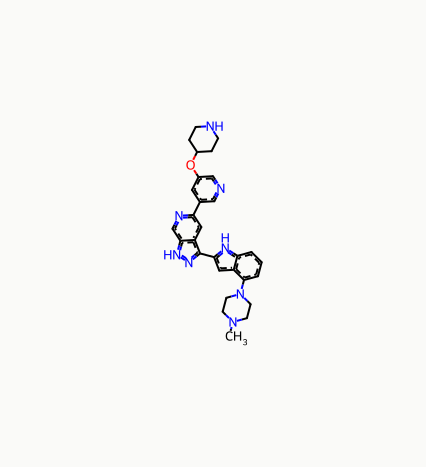 CN1CCN(c2cccc3[nH]c(-c4n[nH]c5cnc(-c6cncc(OC7CCNCC7)c6)cc45)cc23)CC1